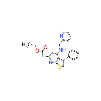 CCOC(=O)Cc1cc(NCc2ccccn2)c2c(-c3ccccc3)csc2n1